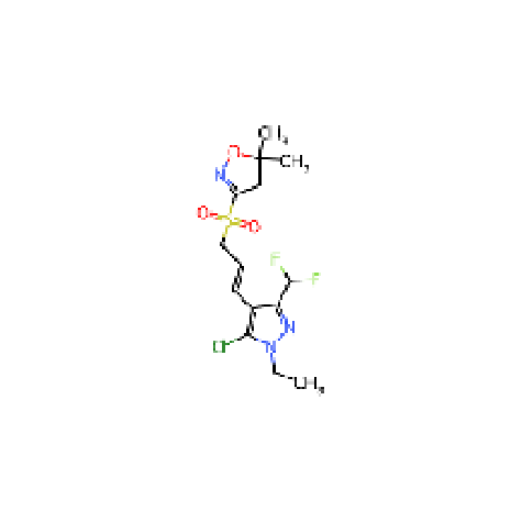 CCn1nc(C(F)F)c(C=CCS(=O)(=O)C2=NOC(C)(C)C2)c1Cl